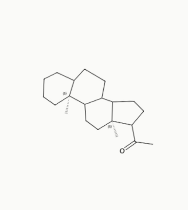 CC(=O)C1CCC2C3CCC4CCCC[C@]4(C)C3CC[C@]12C